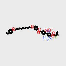 C=Cc1ccc(OCCCCCCCCCCCOc2ccc(OC(=O)c3ccc(-c4cc(N)c(OC(=O)[C@@H](F)[C@@H](C)CC)cc4[N+](=O)[O-])cc3)cc2)cc1